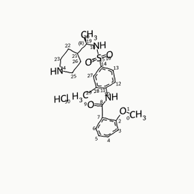 COc1ccccc1C(=O)Nc1ccc(S(=O)(=O)N[C@H](C)C2CCNCC2)cc1C.Cl